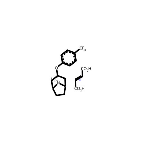 CN1C2CCC1CC(Oc1ccc(C(F)(F)F)cc1)C2.O=C(O)/C=C/C(=O)O